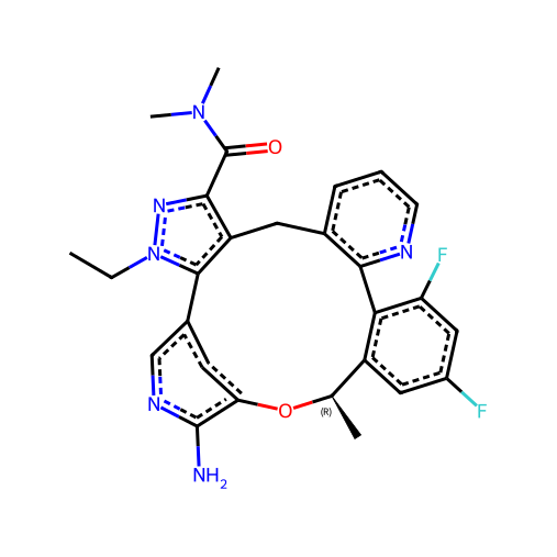 CCn1nc(C(=O)N(C)C)c2c1-c1cnc(N)c(c1)O[C@H](C)c1cc(F)cc(F)c1-c1ncccc1C2